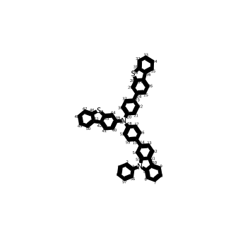 c1ccc(-n2c3ccccc3c3ccc(-c4ccc(N(c5ccc(-c6ccc7c(c6)sc6ccccc67)cc5)c5ccc6c(c5)sc5ccccc56)cc4)cc32)cc1